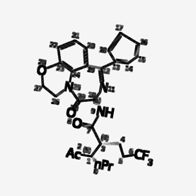 CCC[C@H](C(C)=O)[C@@H](CCC(F)(F)F)C(=O)N[C@H]1N=C(c2ccccc2)c2cccc3c2N(CCO3)C1=O